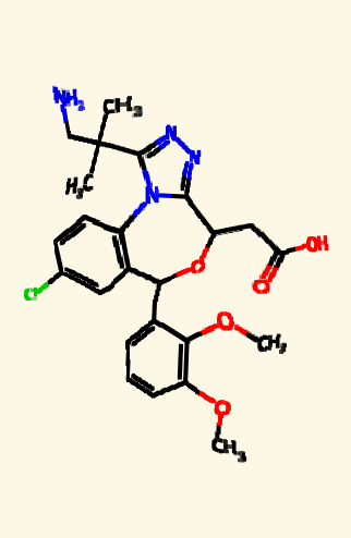 COc1cccc(C2OC(CC(=O)O)c3nnc(C(C)(C)CN)n3-c3ccc(Cl)cc32)c1OC